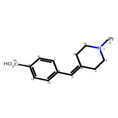 CC(C)N1CCC(=Cc2ccc(C(=O)O)cc2)CC1